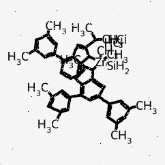 CC1=Cc2c(-c3cc(C)cc(C)c3)cc(-c3cc(C)cc(C)c3)cc2[CH]1[Zr]([CH3])([CH3])(=[SiH2])[CH]1C(C(C)C)=Cc2c(-c3cc(C)cc(C)c3)cccc21.Cl.Cl